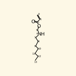 C=CC(=O)OCNCCCCCCC